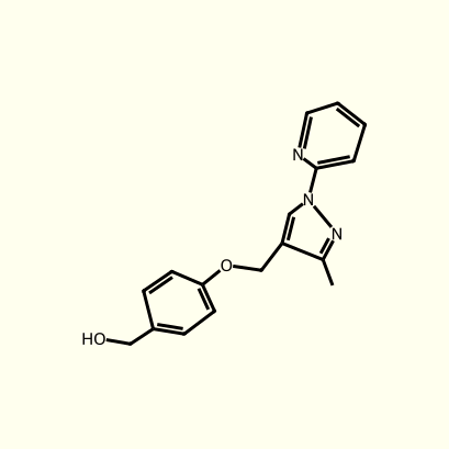 Cc1nn(-c2ccccn2)cc1COc1ccc(CO)cc1